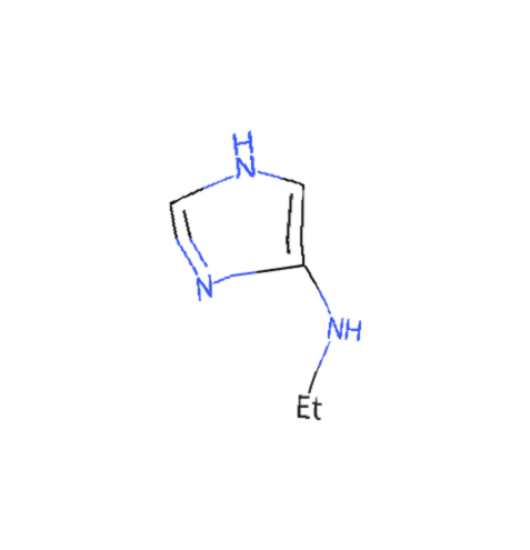 CCNc1c[nH]cn1